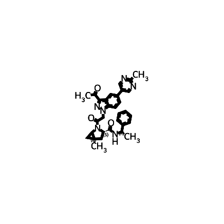 CC(=O)c1nn(CC(=O)N2C3C[C@]3(C)C[C@H]2C(=O)N[C@H](C)c2ccccc2)c2ccc(-c3cnc(C)nc3)cc12